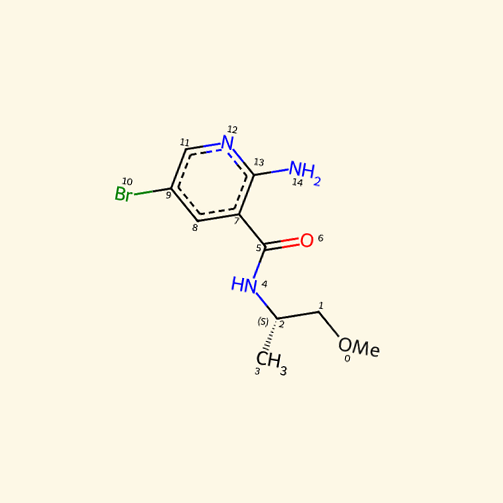 COC[C@H](C)NC(=O)c1cc(Br)cnc1N